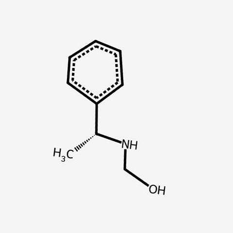 C[C@@H](NCO)c1ccccc1